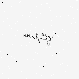 CCC(C)c1cc(Cl)cc(Cl)c1OCC(=O)NCCCN